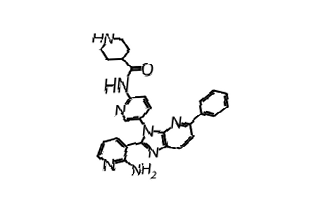 Nc1ncccc1-c1nc2ccc(-c3ccccc3)nc2n1-c1ccc(NC(=O)C2CCNCC2)nc1